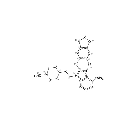 Nc1nccc2c1nc(Sc1cc3c(cc1Cl)OCO3)n2CCC1CCN(C=O)CC1